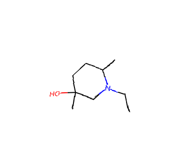 CCN1CC(C)(O)CCC1C